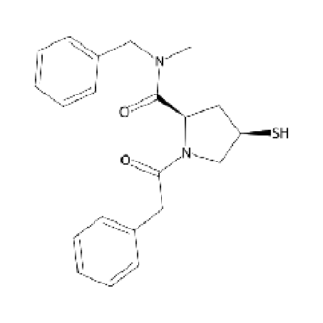 CN(Cc1ccccc1)C(=O)[C@H]1C[C@@H](S)CN1C(=O)Cc1ccccc1